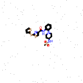 CS(=O)(=O)NC1CCN(c2ccccc2NC(=O)c2csc(Sc3cccs3)n2)CC1